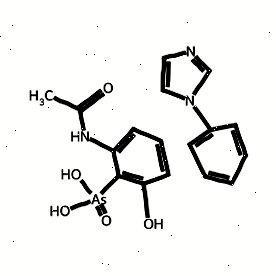 CC(=O)Nc1cccc(O)c1[As](=O)(O)O.c1ccc(-n2ccnc2)cc1